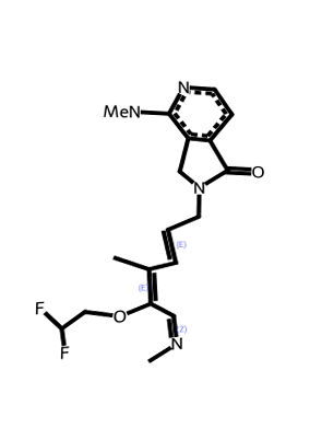 C\N=C/C(OCC(F)F)=C(C)\C=C\CN1Cc2c(ccnc2NC)C1=O